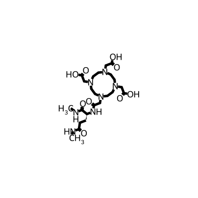 CNC(=O)CC[C@@H](NC(=O)CN1CCN(CC(=O)O)CCN(CC(=O)O)CCN(CC(=O)O)CC1)C(=O)NC